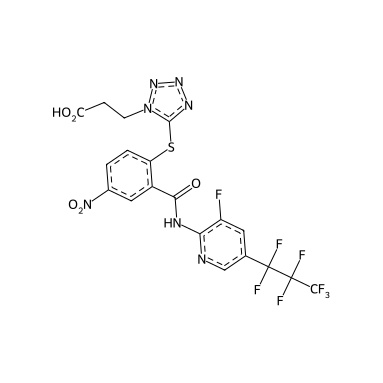 O=C(O)CCn1nnnc1Sc1ccc([N+](=O)[O-])cc1C(=O)Nc1ncc(C(F)(F)C(F)(F)C(F)(F)F)cc1F